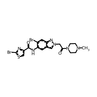 CN1CCN(C(=O)Cn2cc3cc(NC(=O)c4csc(Br)n4)c(Br)cc3n2)CC1